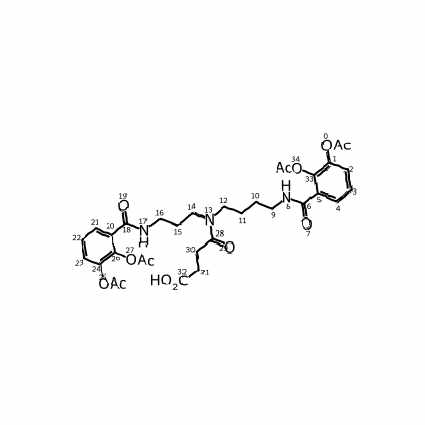 CC(=O)Oc1cccc(C(=O)NCCCCN(CCCNC(=O)c2cccc(OC(C)=O)c2OC(C)=O)C(=O)CCC(=O)O)c1OC(C)=O